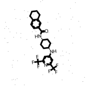 O=C(N[C@H]1CC[C@@H](Nc2cc(C(F)(F)F)nc(C(F)(F)F)c2)CC1)c1ccc2c(c1)CCCC2